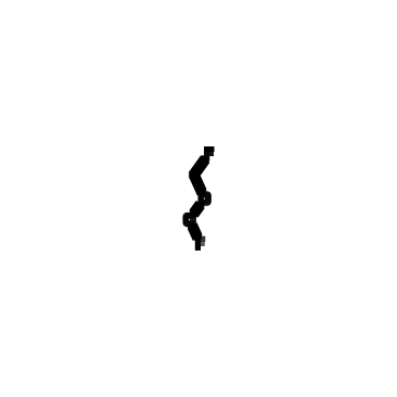 FCOOF